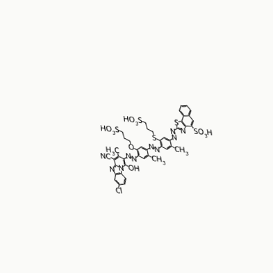 Cc1cc(N=Nc2cc(OCCCS(=O)(=O)O)c(N=Nc3c(C)c(C#N)c4nc5cc(Cl)ccc5n4c3O)cc2C)c(SCCCS(=O)(=O)O)cc1N=Nc1nc2c(S(=O)(=O)O)cc3ccccc3c2s1